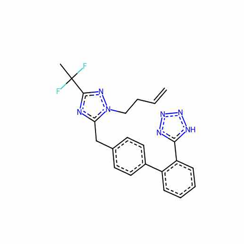 C=CCCn1nc(C(C)(F)F)nc1Cc1ccc(-c2ccccc2-c2nnn[nH]2)cc1